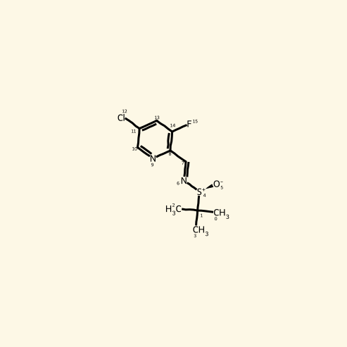 CC(C)(C)[S@+]([O-])/N=C/c1ncc(Cl)cc1F